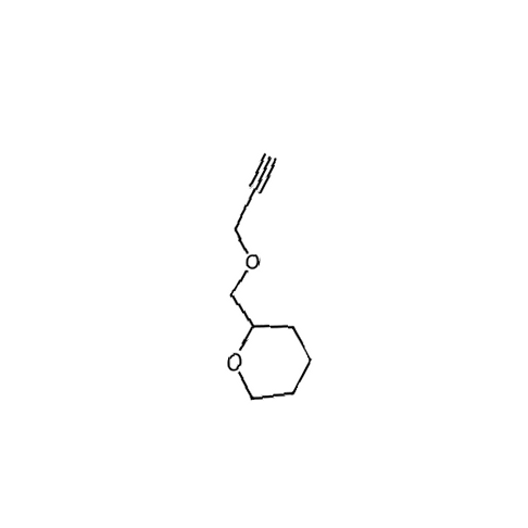 C#CCOCC1CCCCO1